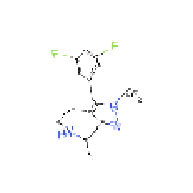 CC1NCCc2c1nn(C(F)(F)F)c2-c1cc(F)cc(F)c1